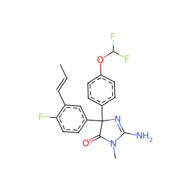 CC=Cc1cc(C2(c3ccc(OC(F)F)cc3)N=C(N)N(C)C2=O)ccc1F